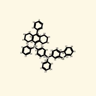 c1ccc(-c2c3c(c(N(c4ccccc4)c4ccc(N(c5ccccc5)c5ccc6c(c5)sc5ccccc56)cc4)c4c2CCCC4)CCCC3)cc1